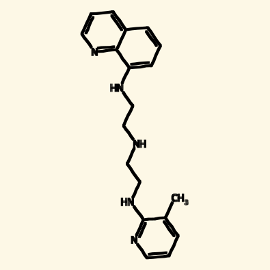 Cc1cccnc1NCCNCCNc1cccc2cccnc12